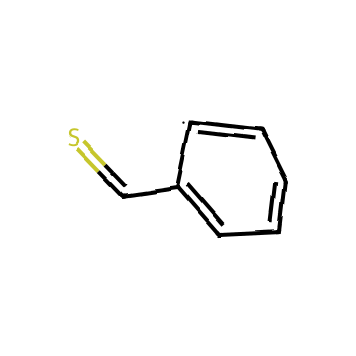 S=Cc1[c]cccc1